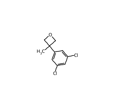 CC1(c2cc(Cl)cc(Cl)c2)COC1